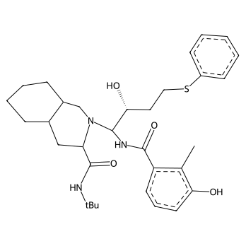 Cc1c(O)cccc1C(=O)NC([C@H](O)CCSc1ccccc1)N1CC2CCCCC2CC1C(=O)NC(C)(C)C